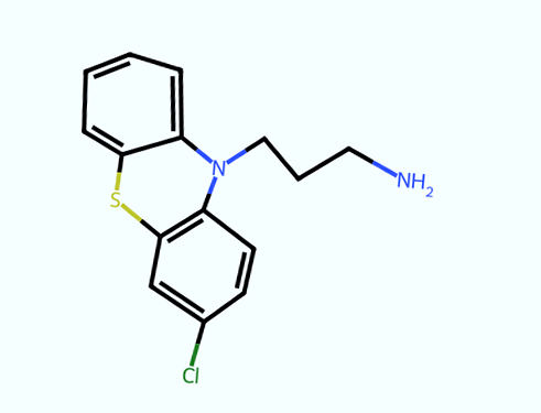 NCCCN1c2ccccc2Sc2cc(Cl)ccc21